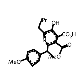 COC(=O)c1c(C(C)c2ccc(OC)cc2)nc(CC(C)C)c(O)c1C(=O)O